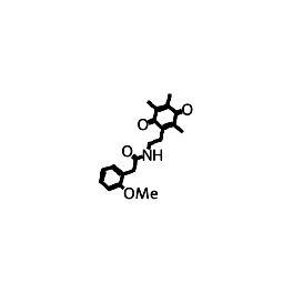 COc1ccccc1CC(=O)NCCC1=C(C)C(=O)C(C)=C(C)C1=O